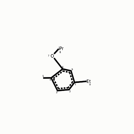 CCc1ccc(C)c(OC(C)C)c1